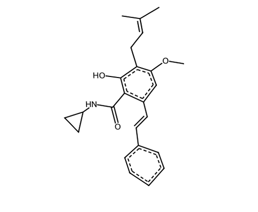 COc1cc(/C=C/c2ccccc2)c(C(=O)NC2CC2)c(O)c1CC=C(C)C